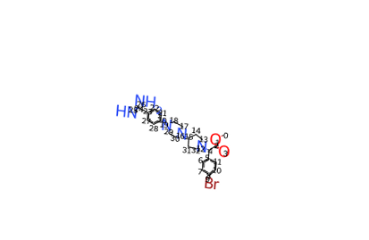 COC(=O)C(c1ccc(Br)cc1)N1CCC(N2CCN(c3ccc(C(=N)N)cc3)CC2)CC1